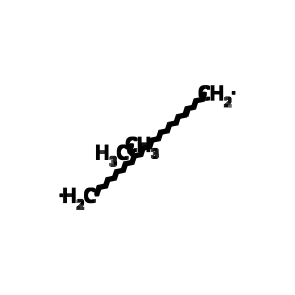 [CH2]CCCC=CCCCCCCCCCCC(CCCCCCCCC[CH2])C(C)C